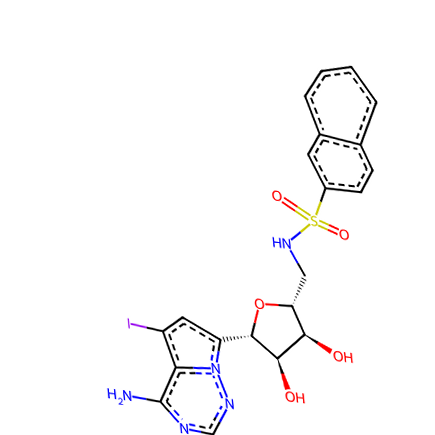 Nc1ncnn2c([C@@H]3O[C@H](CNS(=O)(=O)c4ccc5ccccc5c4)[C@@H](O)[C@H]3O)cc(I)c12